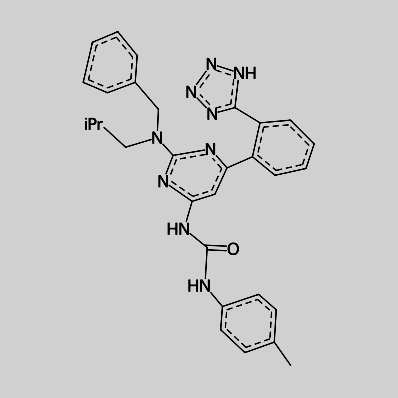 Cc1ccc(NC(=O)Nc2cc(-c3ccccc3-c3nnn[nH]3)nc(N(Cc3ccccc3)CC(C)C)n2)cc1